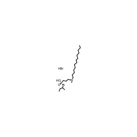 Br.CCCCCCCCCCCCCCN(C)CCCP(=O)(O)OC(C)CC